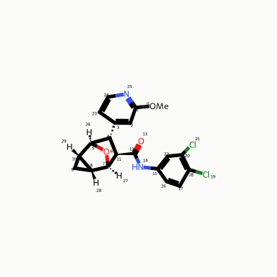 COc1cc([C@H]2[C@H]3O[C@H]([C@@H]4C[C@@H]43)[C@@H]2C(=O)Nc2ccc(Cl)c(Cl)c2)ccn1